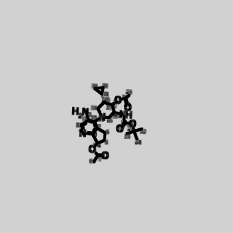 CC(=O)OC1CCc2c1ncc(N)c2N1C[C@H](NC(=O)OC(C)(C)C)[C@H](OC(C)=O)[C@@H](C2CC2)C1